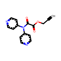 C#CCOC(=O)C(=O)N(c1ccncc1)c1ccncc1